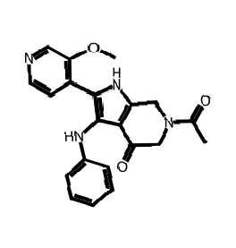 COc1cnccc1-c1[nH]c2c(c1Nc1ccccc1)C(=O)CN(C(C)=O)C2